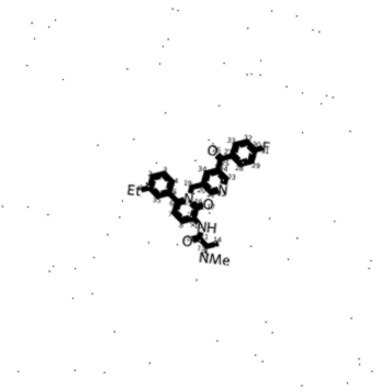 CCc1cccc(-c2ccc(NC(=O)[C@H](C)NC)c(=O)n2Cc2cncc(C(=O)c3ccc(F)cc3)c2)c1